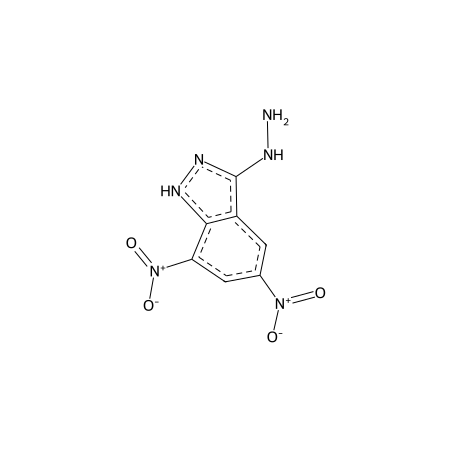 NNc1n[nH]c2c([N+](=O)[O-])cc([N+](=O)[O-])cc12